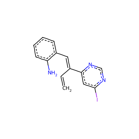 C=C/C(=C\c1ccccc1N)c1cc(I)ncn1